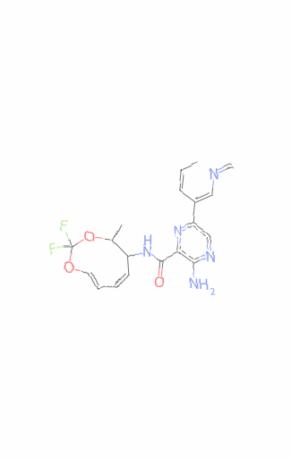 C=N/C=C(\C=C/C)c1cnc(N)c(C(=O)NC2/C=C\C=C\OC(F)(F)OC2C)n1